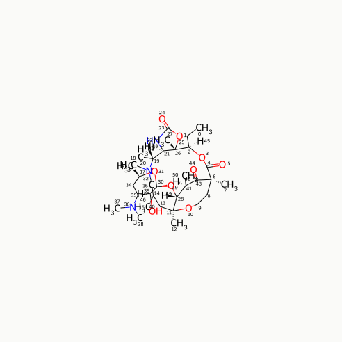 CC[C@H]1OC(=O)[C@@]2(C)CCO[C@@](C)(C[C@@H](C)CN(C)[C@H](C)[C@H]3NC(=O)O[C@@]31C)[C@H](O[C@@H]1O[C@H](C)CC(N(C)C)C1O)[C@@H](C)C2=O